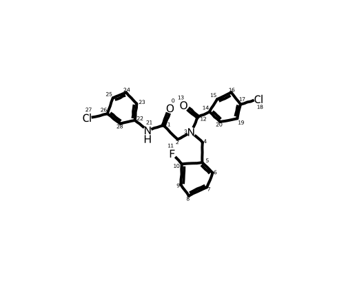 O=C(CN(Cc1ccccc1F)C(=O)c1ccc(Cl)cc1)Nc1cccc(Cl)c1